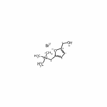 C[N+](C)(C)Cc1ccc(CO)o1.[Br-]